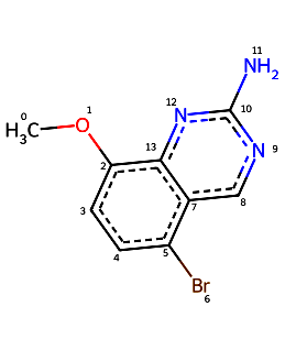 COc1ccc(Br)c2cnc(N)nc12